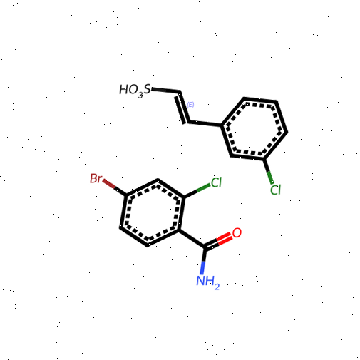 NC(=O)c1ccc(Br)cc1Cl.O=S(=O)(O)/C=C/c1cccc(Cl)c1